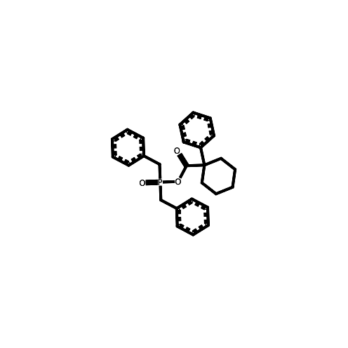 O=C(OP(=O)(Cc1ccccc1)Cc1ccccc1)C1(c2ccccc2)CCCCC1